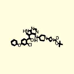 CC(C)(C)OC(=O)N1CC(N2CCC(Nc3ncnc4[nH]cc(C(=O)c5ccc(Oc6ccccc6)cc5Cl)c34)CC2)C1